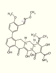 CO/N=C/c1cc(-c2ccc(O)c3c2C[C@H]2C[C@H]4[C@@H](N(C)C)C(O)=C(C(N)=O)C(=O)[C@@]4(O)C(O)=C2C3=O)ccc1OC